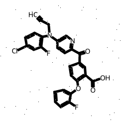 C#CCN(c1ccc(C(=O)c2ccc(Oc3ccccc3F)c(C(=O)O)c2)nc1)c1ccc(Cl)cc1F